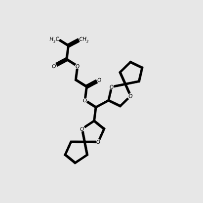 C=C(C)C(=O)OCC(=O)OC(C1COC2(CCCC2)O1)C1COC2(CCCC2)O1